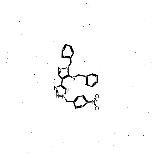 O=[N+]([O-])c1ccc(Cn2nnc(-c3cnn(Cc4ccccc4)c3SCc3ccccc3)n2)cc1